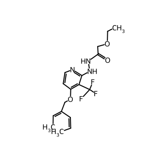 C/C=C\C(=C/C)COc1ccnc(NNC(=O)COCC)c1C(F)(F)F